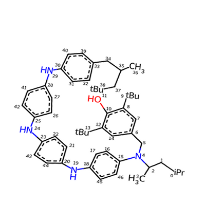 CC(C)CC(C)N(Cc1cc(C(C)(C)C)c(O)c(C(C)(C)C)c1)c1ccc(Nc2ccc(Nc3ccc(Nc4ccc(CC(C)CC(C)(C)C)cc4)cc3)cc2)cc1